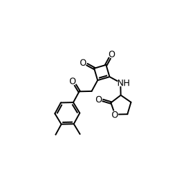 Cc1ccc(C(=O)Cc2c(NC3CCOC3=O)c(=O)c2=O)cc1C